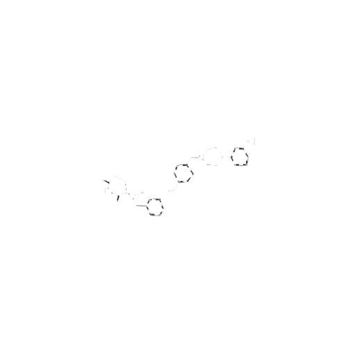 O=C1CCC(N2Cc3cccc(OCc4ccc(CN5CCC(c6cccc(Cl)c6)CC5)cc4)c3C2)C(=O)N1